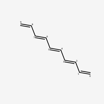 C=CC=CC=CC=CC=C